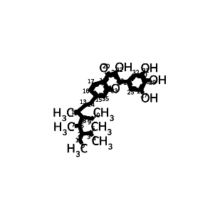 CCC(C(C)C)C(C)C(CC)C(C)CCc1ccc2c(=O)c(O)c(-c3cc(O)c(O)c(O)c3)oc2c1